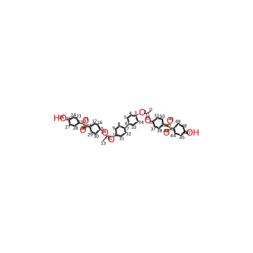 CC(Oc1ccc(-c2ccc(OC(C)Oc3ccc(S(=O)(=O)c4ccc(O)cc4)cc3)cc2)cc1)Oc1ccc(S(=O)(=O)c2ccc(O)cc2)cc1